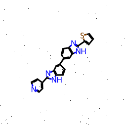 c1csc(-c2nc3ccc(-c4ccc5[nH]c(-c6ccncc6)nc5c4)cc3[nH]2)c1